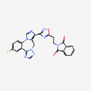 O=C1c2ccccc2C(=O)N1CCc1nc(-c2ncn3c2Cn2ncnc2-c2cc(F)ccc2-3)no1